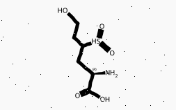 N[C@H](CC(CCO)[SH](=O)=O)C(=O)O